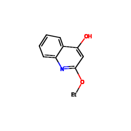 CCOc1cc(O)c2ccccc2n1